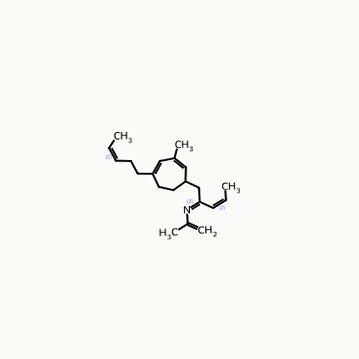 C=C(C)/N=C(\C=C/C)CC1C=C(C)C=C(CC/C=C\C)CC1